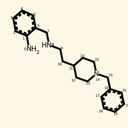 Nc1ccccc1CNCCC1CCN(Cc2ccccc2)CC1